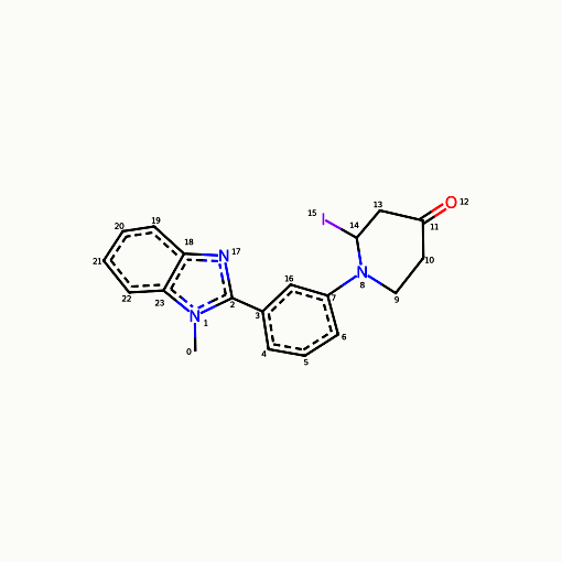 Cn1c(-c2cccc(N3CCC(=O)CC3I)c2)nc2ccccc21